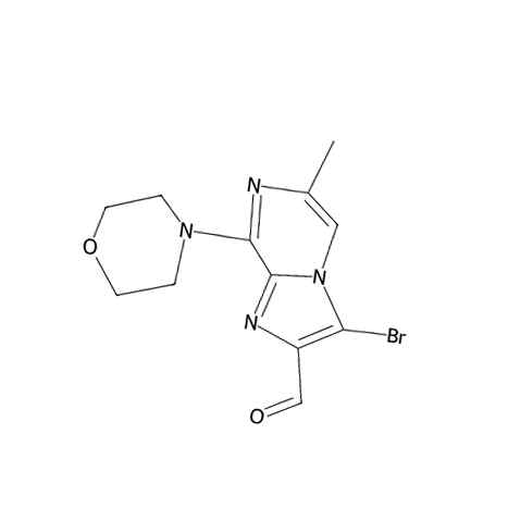 Cc1cn2c(Br)c(C=O)nc2c(N2CCOCC2)n1